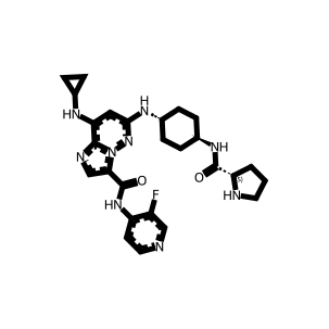 O=C(Nc1ccncc1F)c1cnc2c(NC3CC3)cc(N[C@H]3CC[C@H](NC(=O)[C@@H]4CCCN4)CC3)nn12